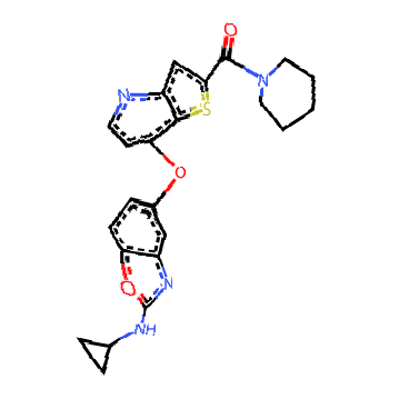 O=C(c1cc2nccc(Oc3ccc4oc(NC5CC5)nc4c3)c2s1)N1CCCCC1